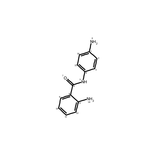 Nc1ccc(NC(=O)c2ccccc2N)cc1